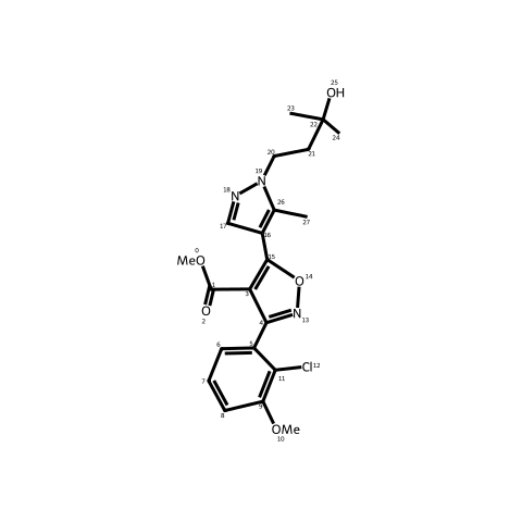 COC(=O)c1c(-c2cccc(OC)c2Cl)noc1-c1cnn(CCC(C)(C)O)c1C